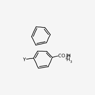 O=C(O)c1cc[c]([Y])cc1.[InH3].c1ccccc1